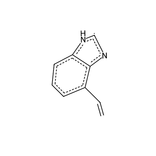 C=Cc1cccc2[nH][c]nc12